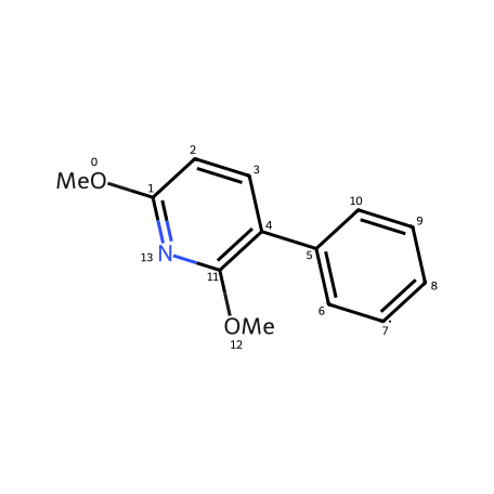 COc1ccc(-c2c[c]ccc2)c(OC)n1